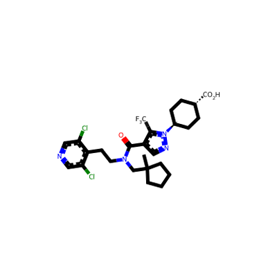 CC1(CN(CCc2c(Cl)cncc2Cl)C(=O)c2cnn([C@H]3CC[C@H](C(=O)O)CC3)c2C(F)(F)F)CCCC1